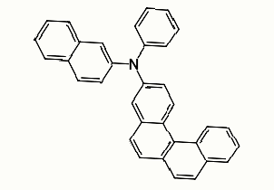 c1ccc(N(c2ccc3ccccc3c2)c2ccc3c(ccc4ccc5ccccc5c43)c2)cc1